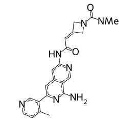 CNC(=O)N1CC(=CC(=O)Nc2cc3cc(-c4cnccc4C)nc(N)c3cn2)C1